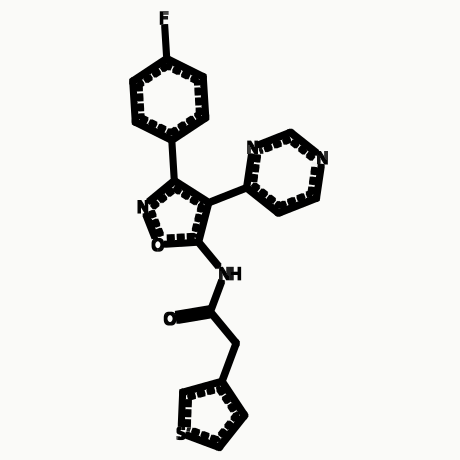 O=C(Cc1ccsc1)Nc1onc(-c2ccc(F)cc2)c1-c1ccncn1